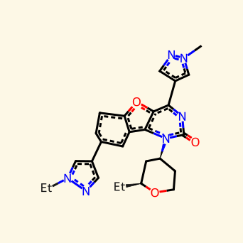 CC[C@H]1C[C@@H](n2c(=O)nc(-c3cnn(C)c3)c3oc4ccc(-c5cnn(CC)c5)cc4c32)CCO1